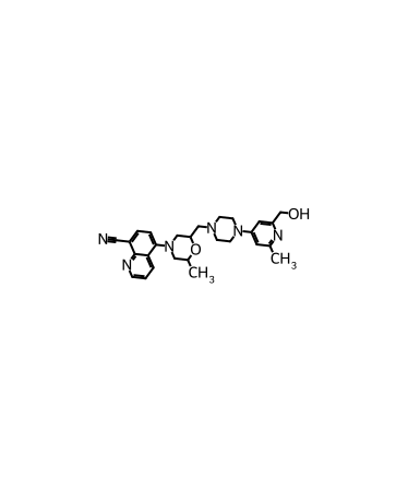 Cc1cc(N2CCN(CC3CN(c4ccc(C#N)c5ncccc45)CC(C)O3)CC2)cc(CO)n1